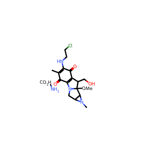 COC12C(CO)C3=C(C(=O)C(C)=C(NCCCl)C3=O)N1CC1C2N1C.NC(=O)O